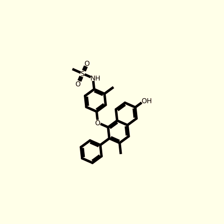 Cc1cc(Oc2c(-c3ccccc3)c(C)cc3cc(O)ccc23)ccc1NS(C)(=O)=O